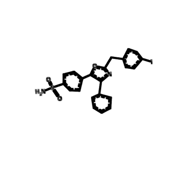 NS(=O)(=O)c1ccc(-c2oc(Cc3ccc(I)cc3)nc2-c2ccccc2)cc1